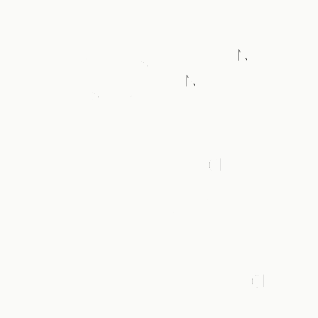 CC1CSC(CCCc2ccc(Cl)cc2Cl)(Cn2ccnc2)S1